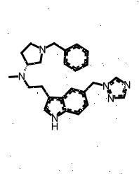 CN(CCc1c[nH]c2ccc(Cn3cncn3)cc12)[C@@H]1CCN(Cc2ccccc2)C1